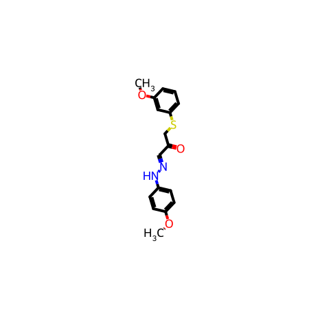 COc1ccc(NN=CC(=O)CSc2cccc(OC)c2)cc1